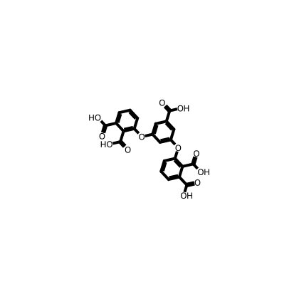 O=C(O)c1cc(Oc2cccc(C(=O)O)c2C(=O)O)cc(Oc2cccc(C(=O)O)c2C(=O)O)c1